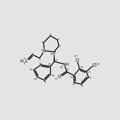 C=CCN1CCCC[C@H]1C(NC(=O)c1cccc(Cl)c1Cl)c1ccccc1